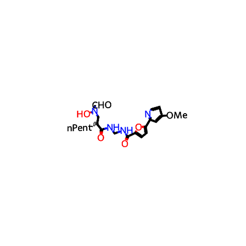 CCCCC[C@H](CN(O)C=O)C(=O)NCNC(=O)c1ccc(-c2cc(OC)ccn2)o1